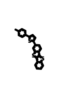 Cc1ccc(-c2ccc(-c3ccc4c(c3)sc3c5ccccc5sc43)s2)cc1